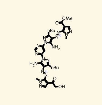 CCCCc1nn(-c2cc(-n3nc(CCCC)c(/N=N/c4c(C(=O)OC)cnn4C)c3N)ncn2)c(N)c1/N=N/c1c(C(=O)CO)cnn1C